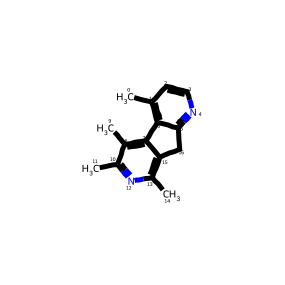 Cc1ccnc2c1-c1c(C)c(C)nc(C)c1C2